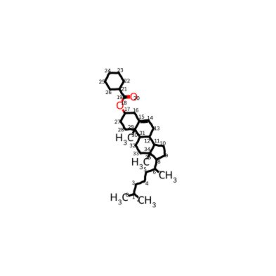 CC(C)CCCC(C)C1CCC2C3CC=C4CC(OC(=O)C5CCCCC5)CCC4(C)C3CCC12C